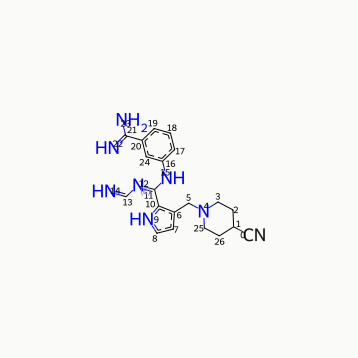 N#CC1CCN(Cc2cc[nH]c2/C(=N\C=N)Nc2cccc(C(=N)N)c2)CC1